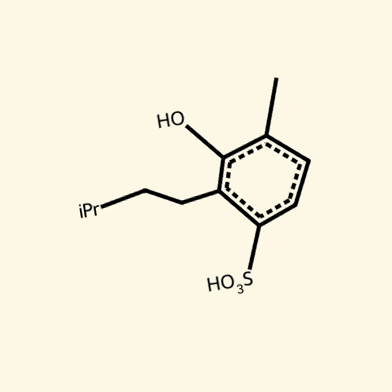 Cc1ccc(S(=O)(=O)O)c(CCC(C)C)c1O